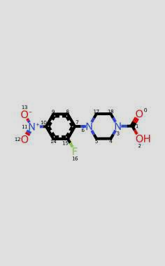 O=C(O)N1CCN(c2ccc([N+](=O)[O-])cc2F)CC1